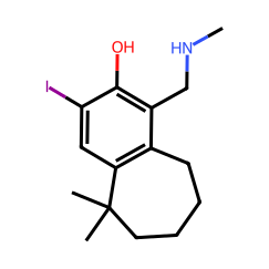 CNCc1c(O)c(I)cc2c1CCCCC2(C)C